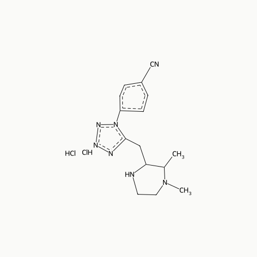 CC1C(Cc2nnnn2-c2ccc(C#N)cc2)NCCN1C.Cl.Cl